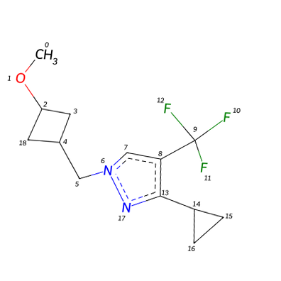 COC1CC(Cn2cc(C(F)(F)F)c(C3CC3)n2)C1